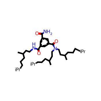 CC(C)CCCC(C)CCNC(=O)c1cc(C(N)=O)cc(C(=O)N(CCC(C)CCCC(C)C)CCC(C)CCCC(C)C)c1